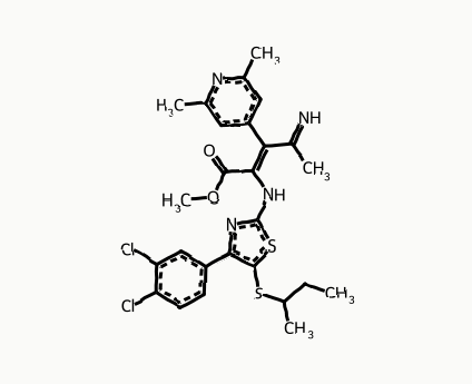 CCC(C)Sc1sc(N/C(C(=O)OC)=C(\C(C)=N)c2cc(C)nc(C)c2)nc1-c1ccc(Cl)c(Cl)c1